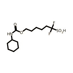 O=C(NC1CCCCC1)OCCCCCC(F)(F)S(=O)(=O)O